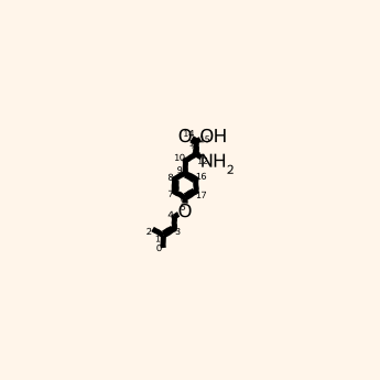 CC(C)=CCOc1ccc(CC(N)C(=O)O)cc1